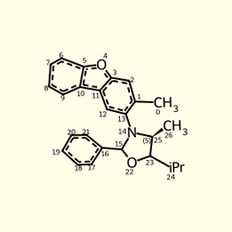 Cc1cc2oc3ccccc3c2cc1N1C(c2ccccc2)OC(C(C)C)[C@@H]1C